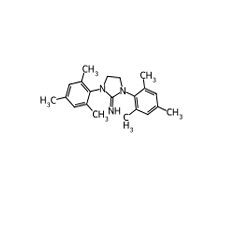 Cc1cc(C)c(N2CCN(c3c(C)cc(C)cc3C)C2=N)c(C)c1